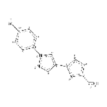 O=C(O)c1csc(-c2cnn(-c3ccc(Br)cc3)c2)n1